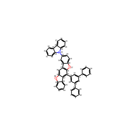 c1ccc(-c2cc(-c3ccccc3)cc(-c3c4oc5ccc(-n6c7ccccc7c7ccccc76)cc5c4cc4oc5ccccc5c34)c2)cc1